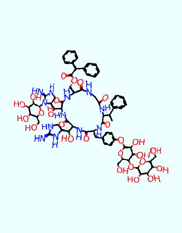 CC(c1ccccc1)C1NC(=O)CNC(=O)C(COC(=O)C(c2ccccc2)c2ccccc2)NC(=O)C(C(O)C2CNC(=N)N2C2OC(CO)C(O)C(O)C2O)NC(=O)C(C(O)C2CNC(=N)N2)NC(=O)C(Cc2ccc(OC3OC(CO)C(OC4OC(CO)C(O)C(O)C4O)C(O)C3O)cc2)NC1=O